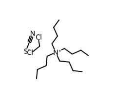 CCCC[N+](CCCC)(CCCC)CCCC.ClCCl.N#C[S-]